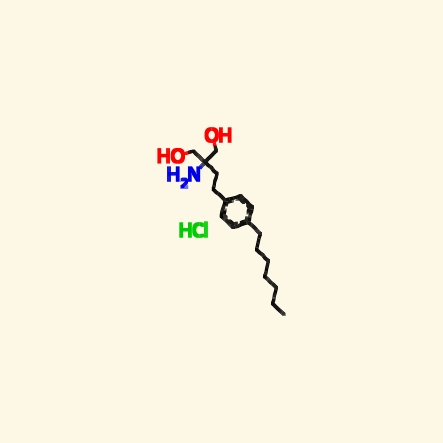 CCCCCCCc1ccc(CCC(N)(CO)CO)cc1.Cl